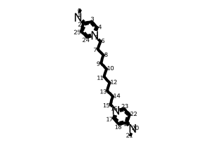 CN=c1ccn(CCCCCCCCCCn2ccc(=NC)cc2)cc1